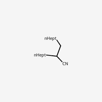 CCCCCCCCC(C#N)CCCCCCC